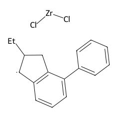 CCC1[CH]c2cccc(-c3ccccc3)c2C1.[Cl][Zr][Cl]